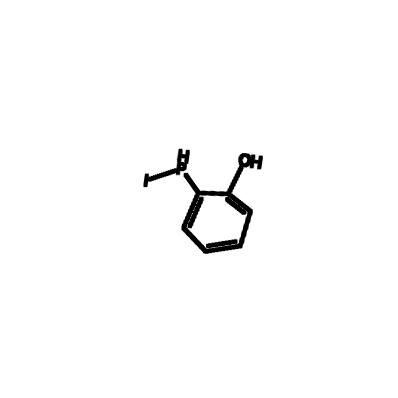 Oc1ccccc1PI